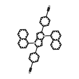 N#Cc1ccc(-c2cc3c(cc(-c4ccc(C#N)cc4)n3-c3cccc4ccccc34)n2-c2cccc3ccccc23)cc1